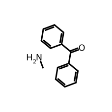 CN.O=C(c1ccccc1)c1ccccc1